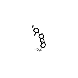 O=C(O)c1ccc2c(c1)C1OC2c2ccc(-c3ccc(F)cc3F)cc21